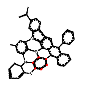 Cc1cc2c3c(c1)-n1c4cc(C(C)C)ccc4c4cc5c(-c6ccccc6)c6ccccc6c(-c6ccccc6)c5c(c41)B3c1cccc3c1N2C1CC=CC=C1S3